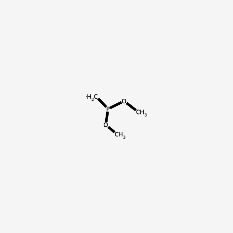 [CH2]P(OC)OC